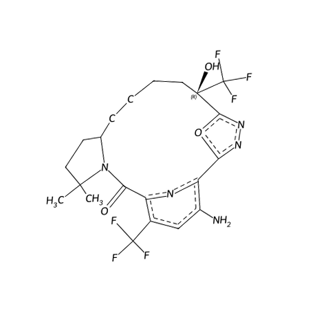 CC1(C)CCC2CCCC[C@](O)(C(F)(F)F)c3nnc(o3)-c3nc(c(C(F)(F)F)cc3N)C(=O)N21